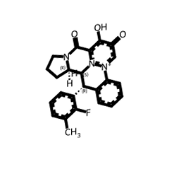 Cc1cccc([C@H]2c3ccccc3-[n+]3cc(=O)c(O)c4n3[C@@H]2[C@H]2CCCN2C4=O)c1F